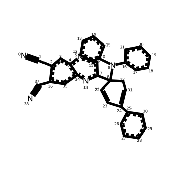 N#Cc1cc2ncc(C3(N(c4ccccc4)c4ccccc4)C=CC(c4ccccc4)=CC3)nc2cc1C#N